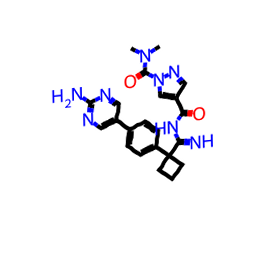 CN(C)C(=O)n1cc(C(=O)NC(=N)C2(c3ccc(-c4cnc(N)nc4)cc3)CCC2)cn1